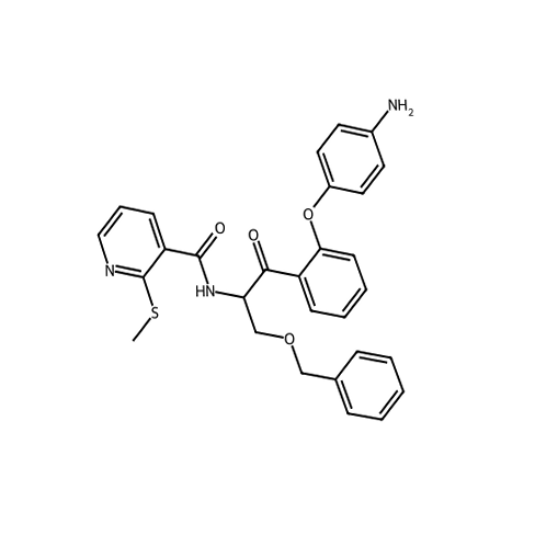 CSc1ncccc1C(=O)NC(COCc1ccccc1)C(=O)c1ccccc1Oc1ccc(N)cc1